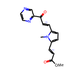 COC(=O)/C=C/c1ccc(/C=C/C(=O)c2cnccn2)n1C